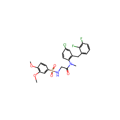 COc1ccc(S(=O)(=O)NCC(=O)N(C)c2ccc(Cl)cc2Cc2cccc(F)c2F)cc1OC